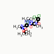 Cc1cn(C(=O)OC(C)(C)C)c(-c2ccc(-n3c(NC(C)C)nc4c(c3=O)C[C@@H](C)N(C(=O)c3ccc(Cl)c(Cl)c3)C4)c(Cl)c2)n1